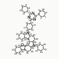 c1ccc(-c2nc(-c3ccccc3)nc(-c3ccc(-n4c5ccccc5c5c6c7c8oc9ccccc9c8ccc7n(-c7ccccc7)c6ccc54)cc3)n2)cc1